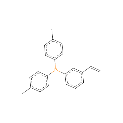 C=Cc1cccc(P(c2ccc(C)cc2)c2ccc(C)cc2)c1